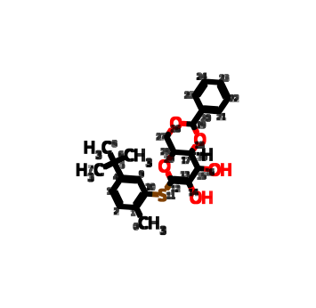 Cc1ccc(C(C)(C)C)cc1SC1=C(O)C(O)[C@@H]2OC(c3ccccc3)OCC2O1